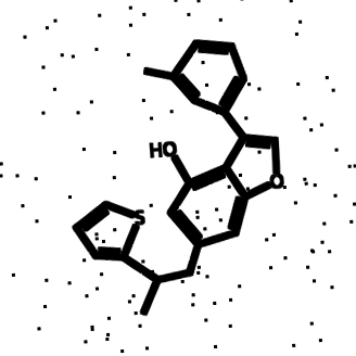 Cc1cccc(-c2coc3cc(CC(C)c4cccs4)cc(O)c23)c1